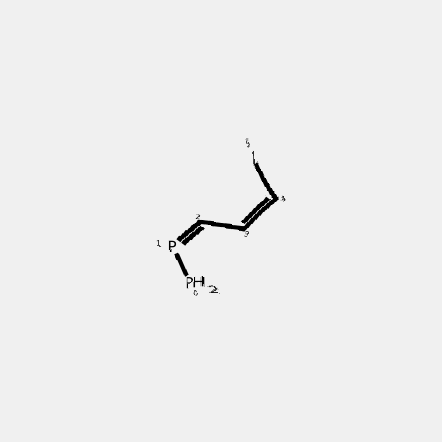 P/P=C\C=C/I